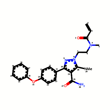 C=CC(=O)N(C)CCn1nc(-c2ccc(Oc3ccccc3)cc2)c(C(N)=O)c1NC